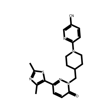 Cc1nc(C)c(-c2ccc(=O)n(CC3CCN(c4ccc(C#N)cn4)CC3)n2)s1